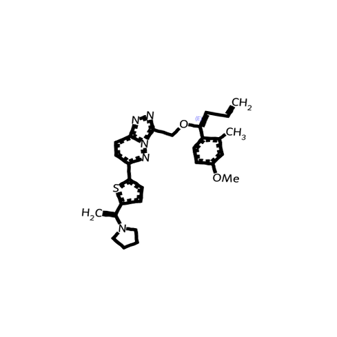 C=C/C=C(/OCc1nnc2ccc(-c3ccc(C(=C)N4CCCC4)s3)nn12)c1ccc(OC)cc1C